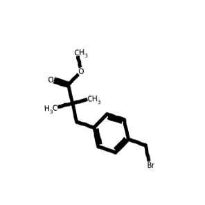 COC(=O)C(C)(C)Cc1ccc(CBr)cc1